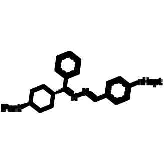 CCCCCCCc1ccc(C=NN=C(c2ccccc2)[C@H]2CC[C@H](C(C)CCC)CC2)cc1